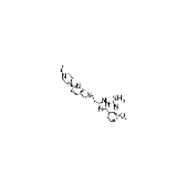 CCN1CCN(c2ccc3c(n2)CN(CCc2nc4c5cccc(OC)c5nc(N)n4n2)C3)CC1